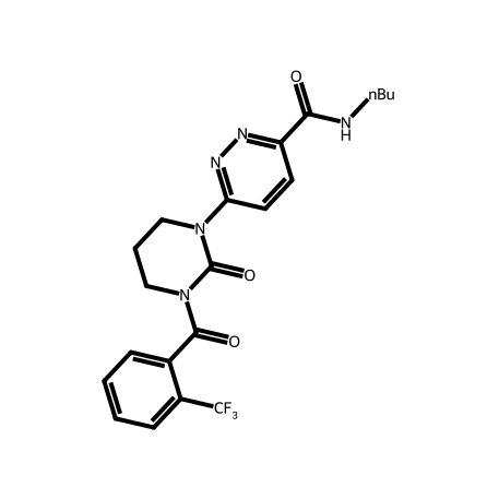 CCCCNC(=O)c1ccc(N2CCCN(C(=O)c3ccccc3C(F)(F)F)C2=O)nn1